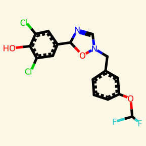 Oc1c(Cl)cc(C2N=CN(Cc3cccc(OC(F)F)c3)O2)cc1Cl